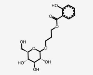 O=C(OCCCOC1O[C@H](CO)[C@@H](O)[C@H](O)[C@H]1O)c1ccccc1O